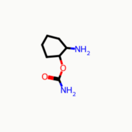 NC(=O)OC1CCCCC1N